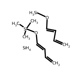 C=CC=CO[SiH3].C=CC=CO[Si](C)(C)C.[SiH4]